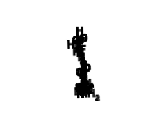 CC(C)(C1CCN(C(=O)COC(=O)N2CCN(c3cnc(-c4c(-c5nn(C(C)(C)C)c6ncnc(N)c56)noc4C4CC4)nc3)CC2)CC1)N1CCN(c2c(F)cc(N[C@@H]3CCC(=O)NC3=O)cc2F)CC1